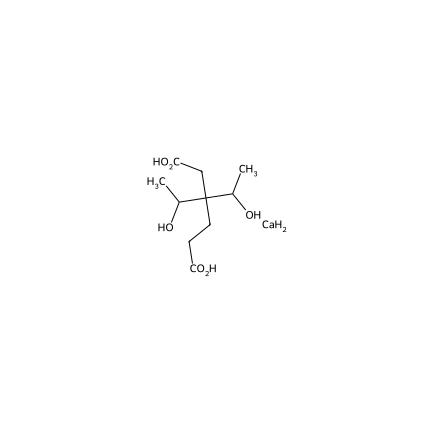 CC(O)C(CCC(=O)O)(CC(=O)O)C(C)O.[CaH2]